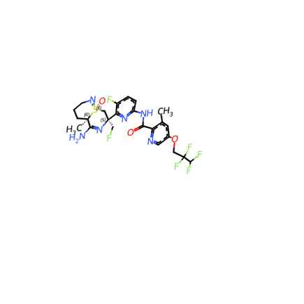 Cc1cc(OCC(F)(F)C(F)F)cnc1C(=O)Nc1ccc(F)c([C@]2(CF)C[S@]3(=O)=NCCC[C@]3(C)C(N)=N2)n1